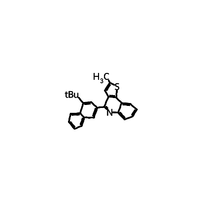 Cc1cc2c(-c3cc(C(C)(C)C)c4ccccc4c3)nc3ccccc3c2s1